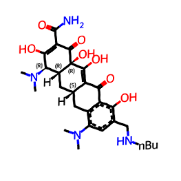 CCCCNCc1cc(N(C)C)c2c(c1O)C(=O)C1=C(O)[C@@]3(O)C(=O)C(C(N)=O)=C(O)[C@H](N(C)C)[C@H]3C[C@H]1C2